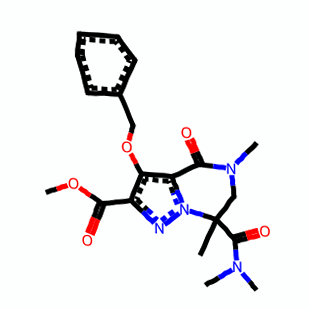 COC(=O)c1nn2c(c1OCc1ccccc1)C(=O)N(C)CC2(C)C(=O)N(C)C